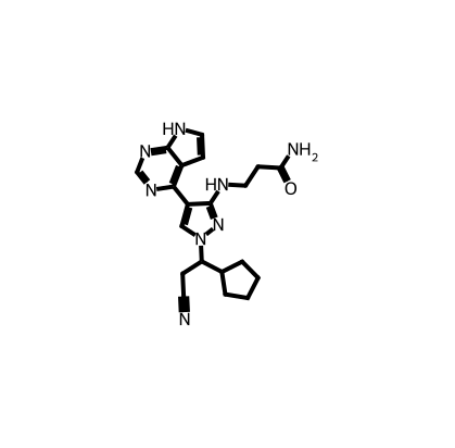 N#CCC(C1CCCC1)n1cc(-c2ncnc3[nH]ccc23)c(NCCC(N)=O)n1